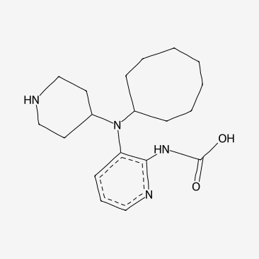 O=C(O)Nc1ncccc1N(C1CCCCCCC1)C1CCNCC1